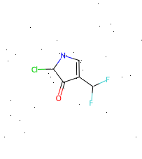 O=C1C(C(F)F)=[C][N]C1Cl